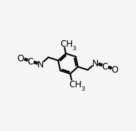 Cc1cc(CN=C=O)c(C)cc1CN=C=O